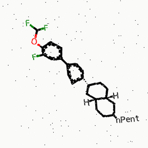 CCCCCC1CC[C@@H]2C[C@H](c3ccc(-c4ccc(OC(F)F)c(F)c4)cc3)CC[C@@H]2C1